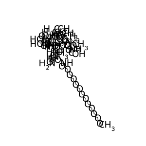 CC[C@H](C)[C@@H]([C@@H](CC(=O)N1CCC[C@H]1[C@H](OC)[C@@H](C)C(=O)N[C@H](C)[C@@H](O)c1ccccc1)OC)N(C)C(=O)[C@@H](NC(=O)[C@H](C(C)C)N(C)C(=O)OCc1ccc(O[C@@H]2O[C@H](C(=O)O)[C@@H](O)[C@H](O)[C@H]2O)c(NC(=O)CCNC(=O)[C@H](CCCCNC(=O)CCOCCOCCOCCOCCOCCOCCOCCOCCOCCOCCOCCOC)NC(=O)[C@H](CN)N2C(=O)C=CC2=O)c1)C(C)C